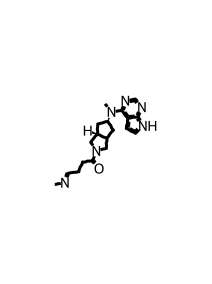 C/N=C/CCC(=O)N1CC2C[C@@H](N(C)c3ncnc4[nH]ccc34)C[C@H]2C1